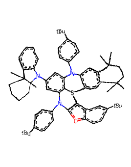 CC(C)(C)c1ccc(N2c3cc4c(cc3B3c5c2cc(N2c6ccccc6C6(C)CCCCC26C)cc5N(c2ccc(C(C)(C)C)cc2)c2oc5ccc(C(C)(C)C)cc5c23)C(C)(C)CCC4(C)C)cc1